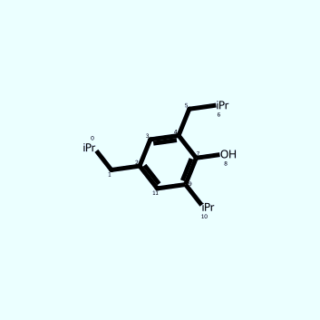 CC(C)Cc1cc(CC(C)C)c(O)c(C(C)C)c1